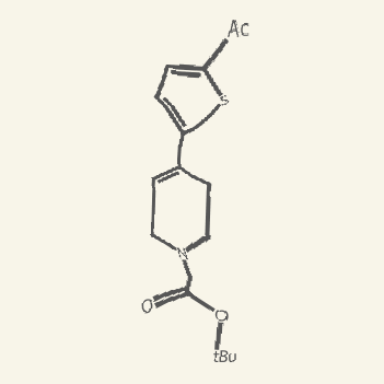 CC(=O)c1ccc(C2=CCN(C(=O)OC(C)(C)C)CC2)s1